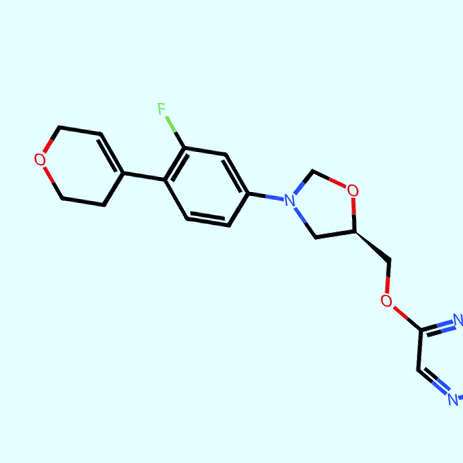 Fc1cc(N2CO[C@@H](COc3cnccn3)C2)ccc1C1=CCOCC1